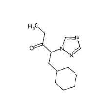 CCC(=O)C(CC1CCCCC1)n1cncn1